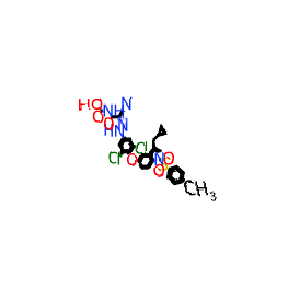 Cc1ccc(S(=O)(=O)n2cc(CC3CC3)c3cc(Oc4c(Cl)cc(N/N=C(/C#N)C(=O)NC(=O)O)cc4Cl)ccc32)cc1